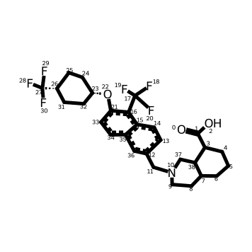 O=C(O)C1CCCC2CCN(Cc3ccc4c(C(F)(F)F)c(O[C@H]5CC[C@@H](C(F)(F)F)CC5)ccc4c3)CC21